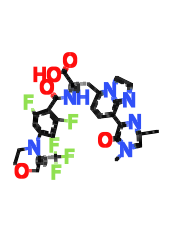 Cc1cn(C)c(=O)c(-c2ccc(C[C@H](NC(=O)c3c(F)cc(N4CCOC[C@H]4C(F)(F)F)cc3F)C(=O)O)n3ccnc23)n1